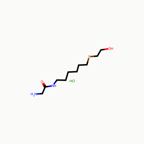 Cl.NCC(=O)NCCCCCCSCCO